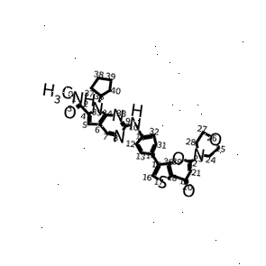 CNC(=O)c1cc2cnc(Nc3ccc(-c4csc5c(=O)cc(N6CCOCC6)oc45)cc3)nc2n1C1CCCC1